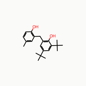 Cc1ccc(O)c(Cc2cc(C(C)(C)C)cc(C(C)(C)C)c2O)c1